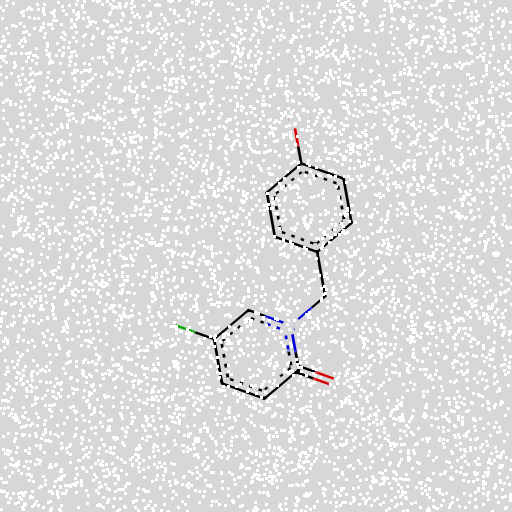 O=c1ccc(Cl)cn1Cc1ccc(O)cc1